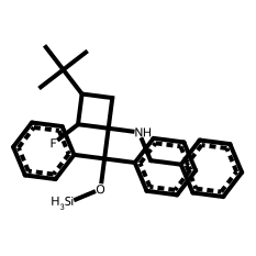 CC(C)(C)C1CC(NCc2ccccc2)(C(O[SiH3])(c2ccccc2)c2ccccc2)C1F